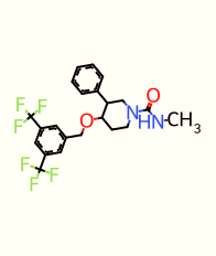 CNC(=O)N1CCC(OCc2cc(C(F)(F)F)cc(C(F)(F)F)c2)C(c2ccccc2)C1